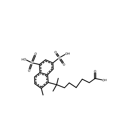 Cc1ccc2c(S(=O)(=O)O)cc(S(=O)(=O)O)cc2c1C(C)(C)CCCCCC(=O)O